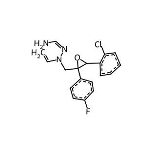 C=CN(CC1(c2ccc(F)cc2)OC1c1ccccc1Cl)/N=C\N